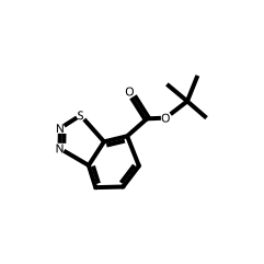 CC(C)(C)OC(=O)c1cccc2nnsc12